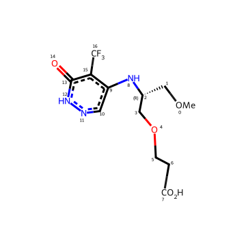 COC[C@H](COCCC(=O)O)Nc1cn[nH]c(=O)c1C(F)(F)F